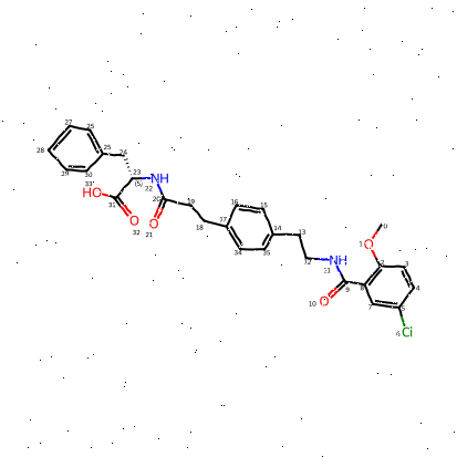 COc1ccc(Cl)cc1C(=O)NCCc1ccc(CCC(=O)N[C@@H](Cc2ccccc2)C(=O)O)cc1